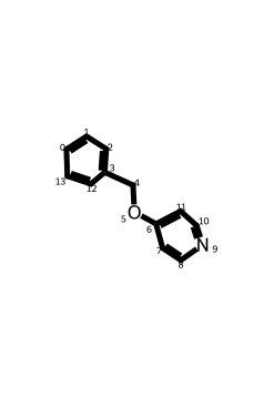 c1ccc(COc2ccncc2)cc1